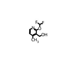 Cc1ccnc(OC(F)F)c1CO